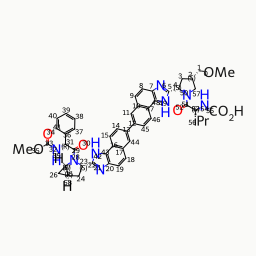 COC[C@H]1C[C@@H](c2nc3ccc4cc(-c5ccc6c(ccc7nc([C@@H]8C[C@H]9C[C@H]9N8C(=O)[C@H](NC(=O)OC)c8ccccc8)[nH]c76)c5)ccc4c3[nH]2)N(C(=O)[C@@H](NC(=O)O)C(C)C)C1